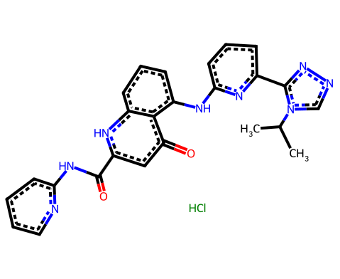 CC(C)n1cnnc1-c1cccc(Nc2cccc3[nH]c(C(=O)Nc4ccccn4)cc(=O)c23)n1.Cl